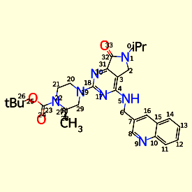 CC(C)N1Cc2c(NCc3cnc4ccccc4c3)nc(N3CCN(C(=O)OC(C)(C)C)[C@H](C)C3)nc2C1=O